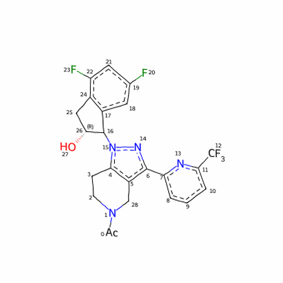 CC(=O)N1CCc2c(c(-c3cccc(C(F)(F)F)n3)nn2C2c3cc(F)cc(F)c3C[C@H]2O)C1